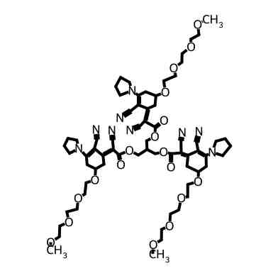 COCCOCCOCCOC1CC(N2CCCC2)=C(C#N)/C(=C(\C#N)C(=O)OCC(COC(=O)/C(C#N)=C2\CC(OCCOCCOCCOC)CC(N3CCCC3)=C2C#N)COC(=O)/C(C#N)=C2\CC(OCCOCCOCCOC)CC(N3CCCC3)=C2C#N)C1